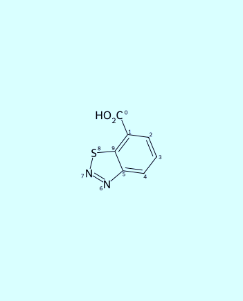 O=C(O)c1cccc2nnsc12